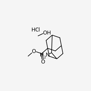 CO.COC(=O)C12CC3CC(C1)C(N)C(C3)C2.Cl